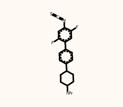 CCCC1CCC(c2ccc(-c3cc(F)c(N=C=S)cc3F)cc2)CC1